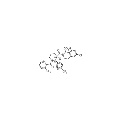 C=CC[C@H]1N(C(=O)c2ncccc2C(F)(F)F)CCC[C@@]1(Oc1csc(C(F)(F)F)c1)C(=O)N1CCc2cc(Cl)ccc2C1C(=O)O